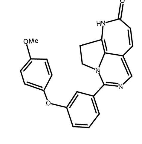 COc1ccc(Oc2cccc(C3=NC=C4C=CC(=O)NC5=C4N3CC5)c2)cc1